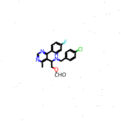 Cc1ncnc(-c2ccc(F)cc2)c1C(COC=O)NCc1ccc(Cl)cc1